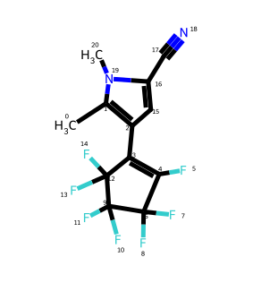 Cc1c(C2=C(F)C(F)(F)C(F)(F)C2(F)F)cc(C#N)n1C